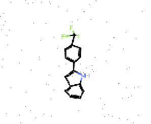 FC(F)(F)c1ccc(-c2cc3ccccc3[nH]2)cc1